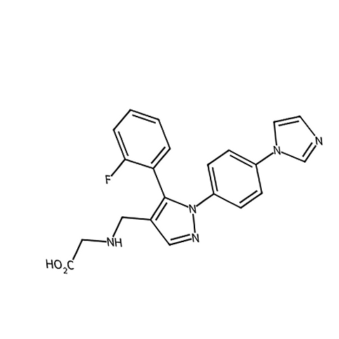 O=C(O)CNCc1cnn(-c2ccc(-n3ccnc3)cc2)c1-c1ccccc1F